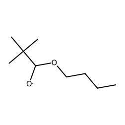 CCCCOC([O])C(C)(C)C